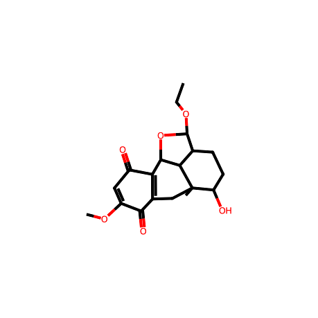 CCOC1OC2C3=C(CC4(C)C(O)CCC1C24)C(=O)C(OC)=CC3=O